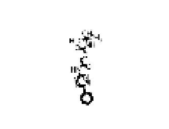 CC(C)(C)NC(=O)OCC(=O)Nc1nnc(-c2ccccc2)nn1